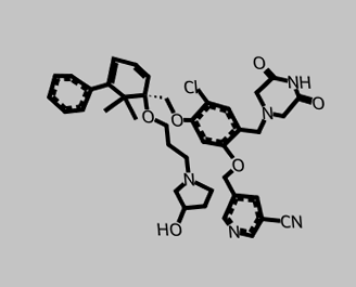 CC1(C)C(c2ccccc2)=CC=C[C@@]1(COc1cc(OCc2cncc(C#N)c2)c(CN2CC(=O)NC(=O)C2)cc1Cl)OCCCN1CCC(O)C1